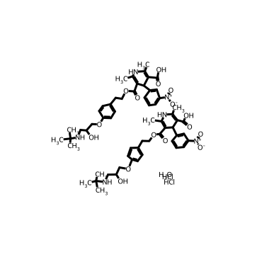 CC1=C(C(=O)O)C(c2cccc([N+](=O)[O-])c2)C(C(=O)OCCc2ccc(OCC(O)CNC(C)(C)C)cc2)=C(C)N1.CC1=C(C(=O)O)C(c2cccc([N+](=O)[O-])c2)C(C(=O)OCCc2ccc(OCC(O)CNC(C)(C)C)cc2)=C(C)N1.Cl.Cl.O